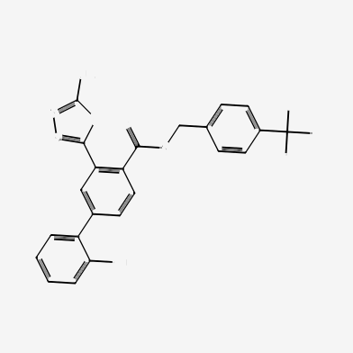 Cc1nnc(-c2cc(-c3ccccc3C)ccc2C(=O)NCc2ccc(C(F)(F)F)cc2)o1